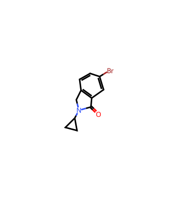 O=C1c2cc(Br)ccc2CN1C1CC1